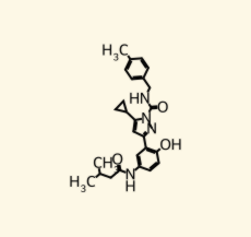 Cc1ccc(CNC(=O)n2nc(-c3cc(NC(=O)CC(C)C)ccc3O)cc2C2CC2)cc1